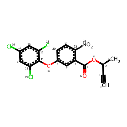 C#CC(C)OC(=O)c1cc(Oc2c(Cl)cc(Cl)cc2Cl)ccc1[N+](=O)[O-]